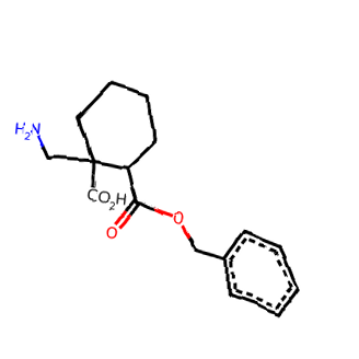 NCC1(C(=O)O)CCCCC1C(=O)OCc1ccccc1